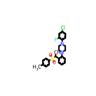 Cc1ccc(S(=O)(=O)C(C)c2ccccc2N2CCN(c3ccc(Cl)cc3F)CC2)cc1